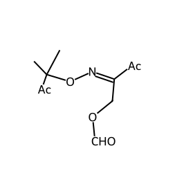 CC(=O)/C(COC=O)=N/OC(C)(C)C(C)=O